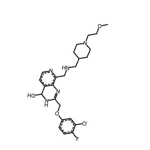 COCCN1CCC(CNCc2nccc3c2N=C(COc2ccc(F)c(Cl)c2)NC3O)CC1